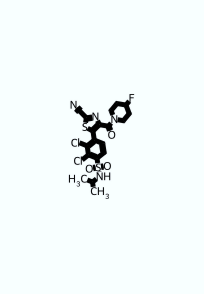 CC(C)NS(=O)(=O)c1ccc(-c2sc(C#N)nc2C(=O)N2CCC(F)CC2)c(Cl)c1Cl